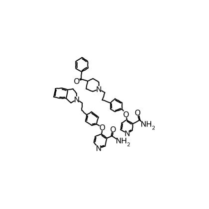 NC(=O)c1cnccc1Oc1ccc(CCN2CCC(C(=O)c3ccccc3)CC2)cc1.NC(=O)c1cnccc1Oc1ccc(CCN2CCc3ccccc3C2)cc1